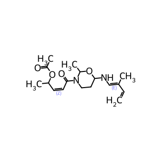 C=C/C(C)=C/NC1CCN(C(=O)/C=C\C(C)OC(C)=O)C(C)O1